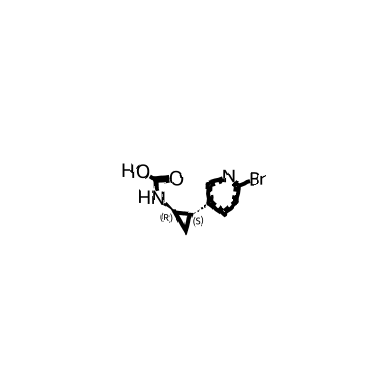 O=C(O)N[C@@H]1C[C@H]1c1ccc(Br)nc1